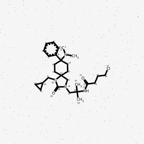 CN(C)C1(c2ccccc2)CCC2(CC1)CN(CC(C)(C)NC(=O)CCCCl)C(=O)N2CC1CC1